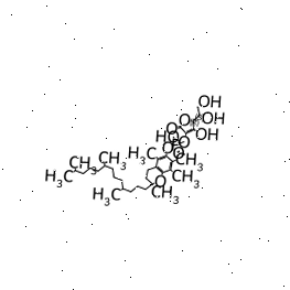 Cc1c(C)c2c(c(C)c1OP(=O)(O)OC1=C(O)[C@@H]([C@@H](O)CO)OC1=O)CCC(C)(CCCC(C)CCCC(C)CCCC(C)C)O2